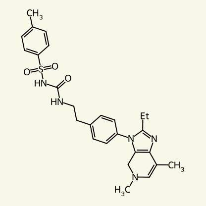 CCc1nc2c(n1-c1ccc(CCNC(=O)NS(=O)(=O)c3ccc(C)cc3)cc1)CN(C)C=C2C